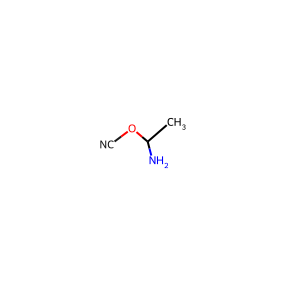 CC(N)OC#N